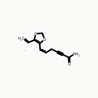 C=CC1=C(/C=C\CC#CC(N)=O)OCO1